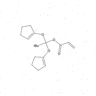 C=CC(=O)OC(OC1=CCCC1)(OC1=CCCC1)C(C)(C)C